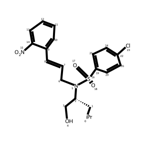 CC(C)C[C@H](CO)N(CC=Cc1ccccc1[N+](=O)[O-])S(=O)(=O)c1ccc(Cl)cc1